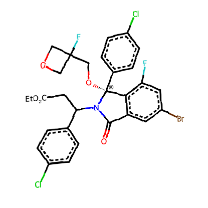 CCOC(=O)CC(c1ccc(Cl)cc1)N1C(=O)c2cc(Br)cc(F)c2[C@]1(OCC1(F)COC1)c1ccc(Cl)cc1